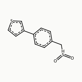 O=[SH](=O)Cc1ccc(-c2ccsc2)cc1